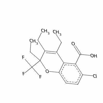 CCC1=C(CC)C(CC)(C(F)(F)F)Oc2ccc(Cl)c(C(=O)O)c21